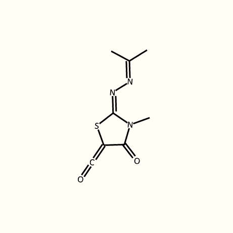 CC(C)=NN=C1SC(=C=O)C(=O)N1C